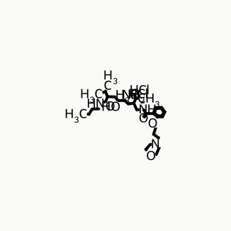 CCCCNC(=O)C(CC(O)C(N)CC(CNC(=O)c1ccccc1OCCCN1CCOCC1)C(C)C)C(C)C.Cl.Cl